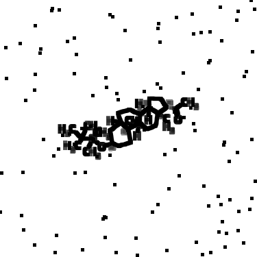 CC(=O)[C@H]1CC[C@H]2[C@@H]3CC[C@H]4C[C@H](O[Si](C)(C)C(C)(C)C)CC[C@]4(C)[C@H]3CC[C@]12C